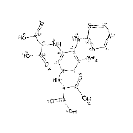 Nc1cc(NC(C(=O)O)C(=O)O)cc(NC(C(=O)O)C(=O)O)c1Nc1ncncn1